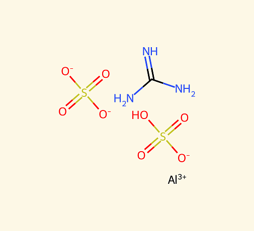 N=C(N)N.O=S(=O)([O-])O.O=S(=O)([O-])[O-].[Al+3]